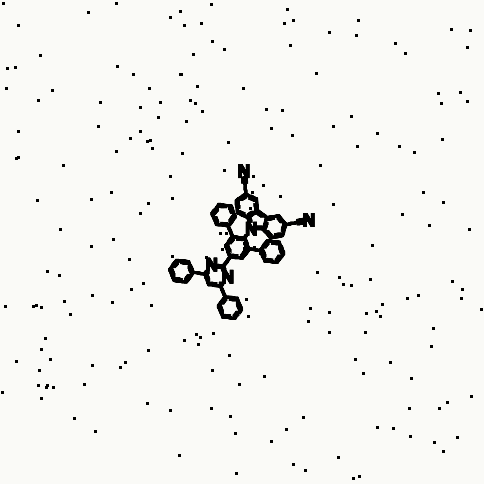 N#Cc1ccc2c(c1)c1cc(C#N)ccc1n2-c1c(-c2ccccc2)cc(-c2nc(-c3ccccc3)cc(-c3ccccc3)n2)cc1-c1ccccc1